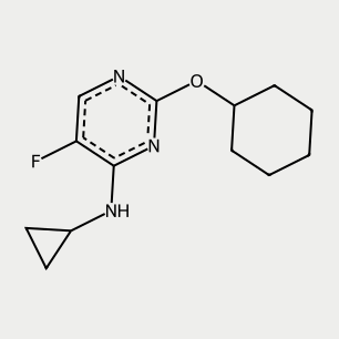 Fc1cnc(OC2CCCCC2)nc1NC1CC1